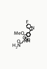 COCc1cc(C2=CN=C3CC(F)=CC=C23)ccc1S(=O)(=O)NCCC(N)=O